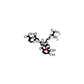 NC(=O)C(N)=NOCC(=O)N[N+](CC(=O)OCC1C(=O)N2C(C(=O)O)=CCS[C@@H]12)(C(=O)c1ccc(O)c(O)c1)c1cscn1